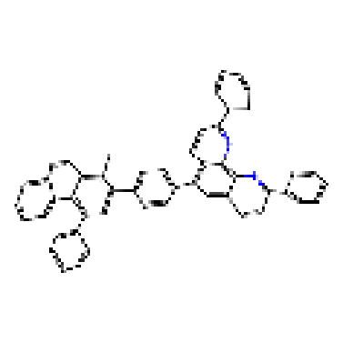 Cc1c(-c2ccc(-c3cc4ccc(-c5ccccc5)nc4c4nc(-c5ccccc5)ccc34)cc2)cc(-c2ccccc2)c2c1ccc1ccccc12